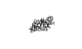 COC(=O)c1cc(Nc2ncc(C)c(NC3COCCC3C#N)n2)cc(OC)c1B1OCC(C)(C)CO1